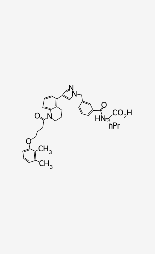 CCC[C@H](NC(=O)c1cccc(Cn2cc(-c3cccc4c3CCCN4C(=O)CCCOc3cccc(C)c3C)cn2)c1)C(=O)O